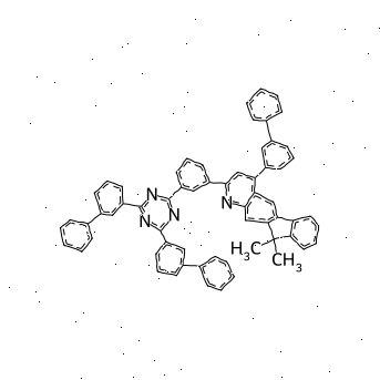 CC1(C)c2ccccc2-c2cc3c(-c4cccc(-c5ccccc5)c4)cc(-c4cccc(-c5nc(-c6cccc(-c7ccccc7)c6)nc(-c6cccc(-c7ccccc7)c6)n5)c4)nc3cc21